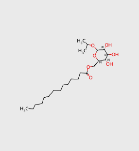 CCCCCCCCCCCCCC(=O)OC[C@H]1OC(OC(C)C)[C@H](O)[C@@H](O)[C@@H]1O